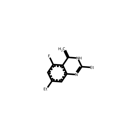 C=C1NC(CC)=Nc2cc(CC)cc(F)c21